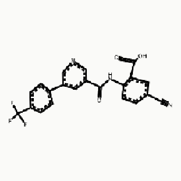 N#Cc1ccc(NC(=O)c2cncc(-c3ccc(C(F)(F)F)cc3)c2)c(C(=O)O)c1